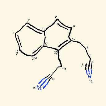 N#CCc1ccc2ccccc2c1CC#N